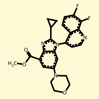 COC(=O)c1cc(N2CCOCC2)cc2c1nc(C1CC1)n2-c1ccnc2c(F)c(F)ccc12